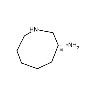 N[C@@H]1CCCCCNC1